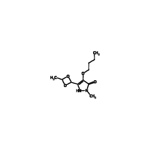 CCCCOc1c(C2OC(C)O2)[nH]n(C)c1=O